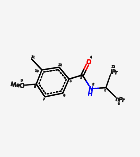 CCCC(NC(=O)c1ccc(OC)c(C)c1)C(C)C